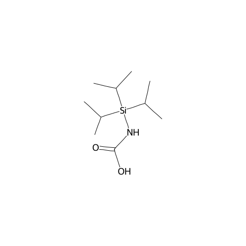 CC(C)[Si](NC(=O)O)(C(C)C)C(C)C